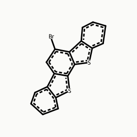 Brc1cc2c3ccccc3sc2c2sc3ccccc3c12